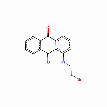 O=C1c2ccccc2C(=O)c2c(NCCBr)cccc21